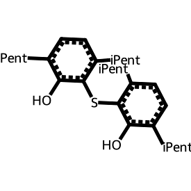 CCCC(C)c1ccc(C(C)CCC)c(Sc2c(C(C)CCC)ccc(C(C)CCC)c2O)c1O